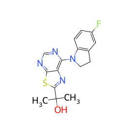 CC(C)(O)c1nc2c(N3CCc4cc(F)ccc43)ncnc2s1